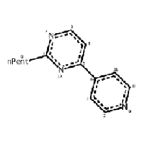 CCCCCc1nccc(-c2ccncc2)n1